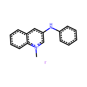 C[n+]1cc(Nc2ccccc2)cc2ccccc21.[I-]